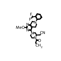 C=CC(=O)N1CCN(c2nc(OC)nc3c2CCN(c2ccccc2C(F)F)C3)CC1CC#N